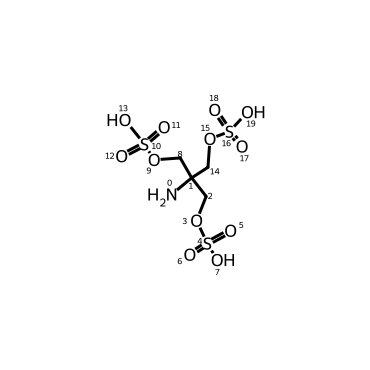 NC(COS(=O)(=O)O)(COS(=O)(=O)O)COS(=O)(=O)O